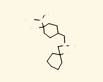 CC(C)N(C)C1(C)CCC(CN(C)CC2(C)CCCCC2)CC1